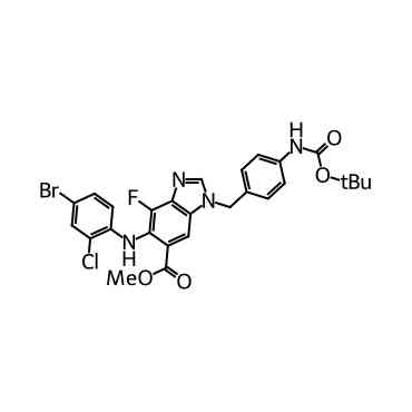 COC(=O)c1cc2c(ncn2Cc2ccc(NC(=O)OC(C)(C)C)cc2)c(F)c1Nc1ccc(Br)cc1Cl